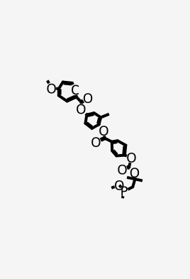 COC1=CC=C(C(=O)Oc2ccc(OC(=O)c3ccc(OC(=O)OC(C)(C)CP(C)OC)cc3)c(C)c2)CC=C1